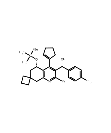 CC(C)c1nc2c(c(C3=CCCC3)c1[C@H](O)c1ccc(C(F)(F)F)cc1)[C@@H](O[Si](C)(C)C(C)(C)C)CC1(CCC1)C2